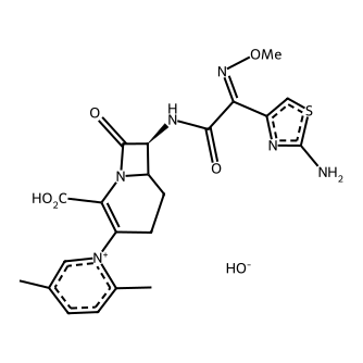 CON=C(C(=O)N[C@@H]1C(=O)N2C(C(=O)O)=C([n+]3cc(C)ccc3C)CCC12)c1csc(N)n1.[OH-]